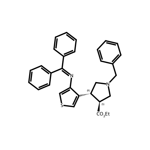 CCOC(=O)[C@@H]1CN(Cc2ccccc2)C[C@H]1c1cscc1N=C(c1ccccc1)c1ccccc1